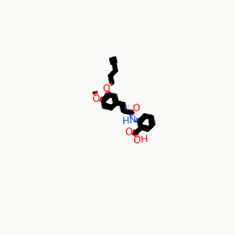 C#CCCCOc1cc(/C=C/C(=O)Nc2ccccc2C(=O)O)ccc1OC